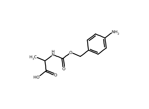 CC(NC(=O)OCc1ccc(N)cc1)C(=O)O